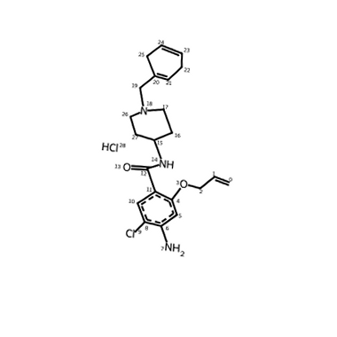 C=CCOc1cc(N)c(Cl)cc1C(=O)NC1CCN(CC2=CCC=CC2)CC1.Cl